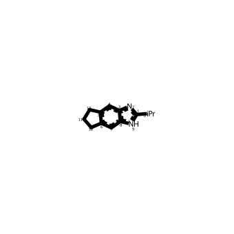 CC(C)c1nc2cc3c(cc2[nH]1)CCC3